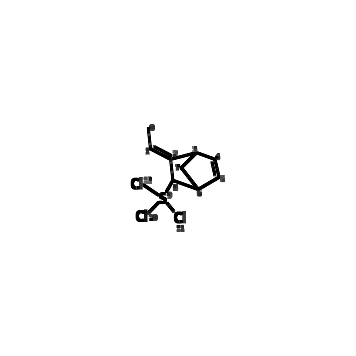 C/C=C1\C2C=CC(C2)C1S(Cl)(Cl)Cl